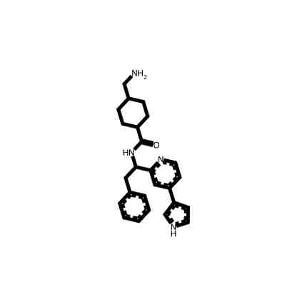 NCC1CCC(C(=O)NC(Cc2ccccc2)c2cc(-c3cc[nH]c3)ccn2)CC1